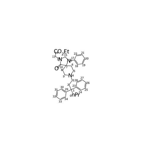 CCCC(CCN1CCC2(CC1)C(=O)N(CC(=O)OCC)CN2c1ccccc1)(c1ccccc1)c1ccccc1